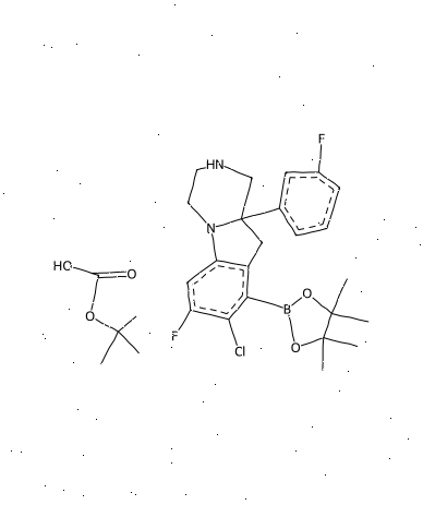 CC(C)(C)OC(=O)O.CC1(C)OB(c2c(Cl)c(F)cc3c2CC2(c4cccc(F)c4)CNCCN32)OC1(C)C